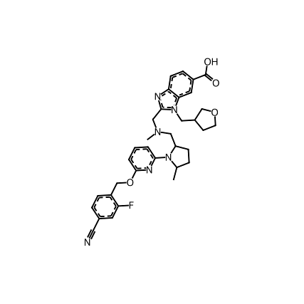 CC1CCC(CN(C)Cc2nc3ccc(C(=O)O)cc3n2CC2CCOC2)N1c1cccc(OCc2ccc(C#N)cc2F)n1